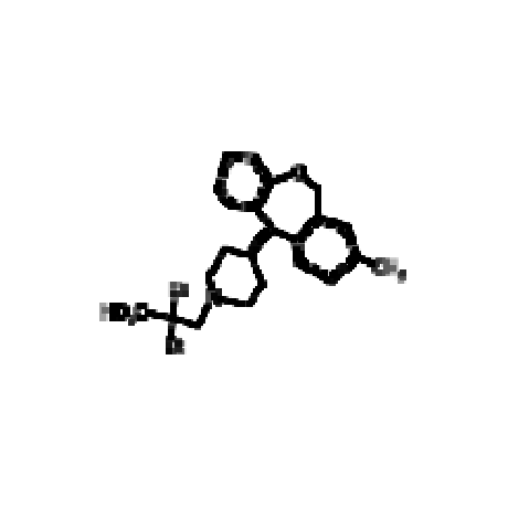 CCC(CC)(CN1CCC(=C2c3ccc(C)cc3COc3ccccc32)CC1)C(=O)O